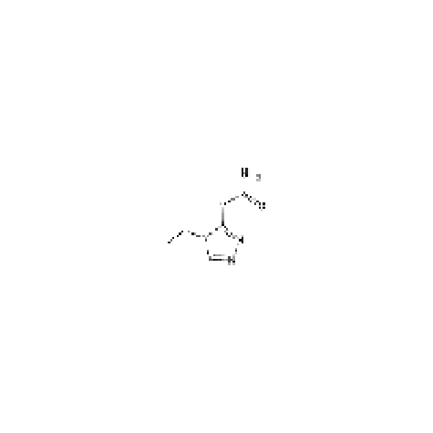 CCn1cnnc1[CH]C(N)=O